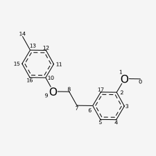 COc1cccc(CCOc2ccc(C)cc2)c1